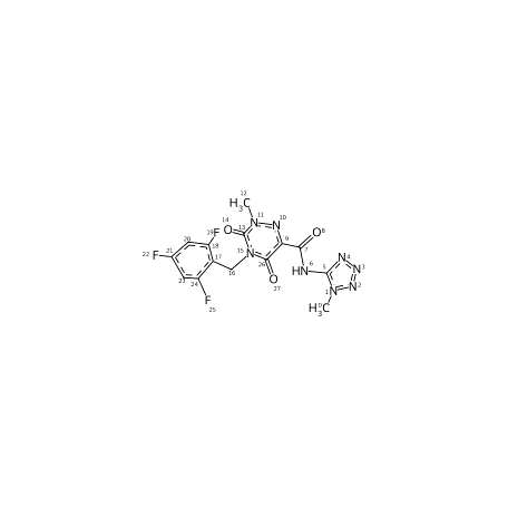 Cn1nnnc1NC(=O)c1nn(C)c(=O)n(Cc2c(F)cc(F)cc2F)c1=O